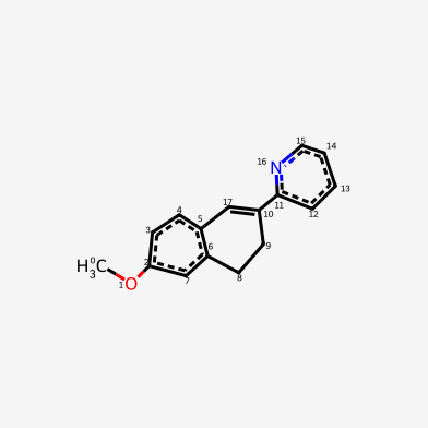 COc1ccc2c(c1)CCC(c1ccccn1)=C2